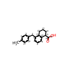 Cc1ccc(Cc2cccc3c2CCCC3C(=O)O)cc1